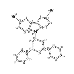 Brc1ccc2c(c1)c1cc(Br)ccc1n2-c1cc(-c2ccccc2)cc(-c2ccccc2)n1